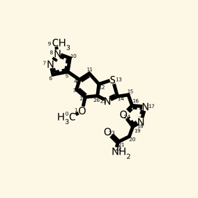 COC1=CC(c2cnn(C)c2)=CC2SC(Cc3nnc(CC(N)=O)o3)=NC12